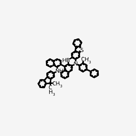 Cc1cc(-c2ccccc2)ccc1N1c2cc3sc4ccccc4c3cc2Bc2c1cc1ccccc1c2-c1ccc2ccccc2c1Nc1ccc2c(c1)C(C)(C)c1ccccc1-2